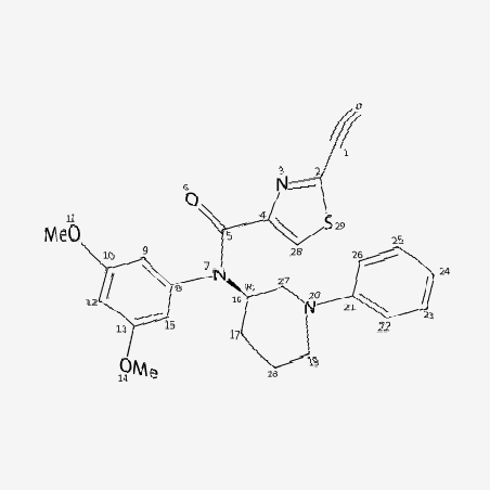 C#Cc1nc(C(=O)N(c2cc(OC)cc(OC)c2)[C@@H]2CCCN(c3ccccc3)C2)cs1